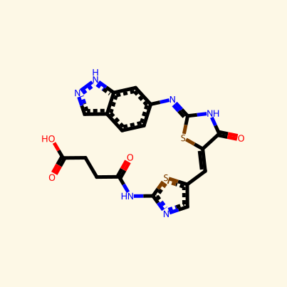 O=C(O)CCC(=O)Nc1ncc(/C=C2\SC(=Nc3ccc4cn[nH]c4c3)NC2=O)s1